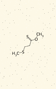 COC(=S)CCSC